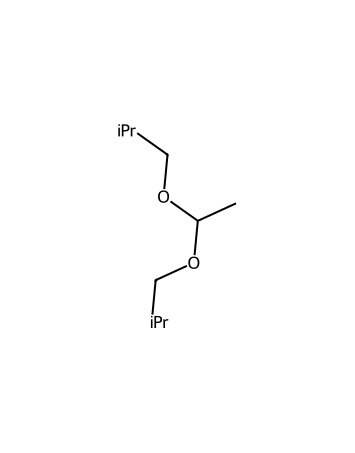 CC(C)COC(C)OCC(C)C